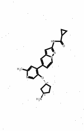 Cc1cc(-c2ccn3nc(NC(=O)C4CC4)cc3c2)c(O[C@@H]2CC[C@@H](N)C2)cn1